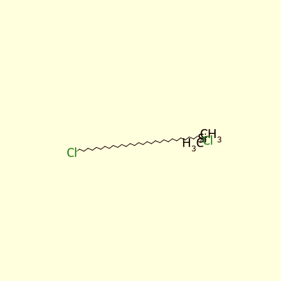 C[Si](C)(Cl)CCCCCCCCCCCCCCCCCCCCCCCCCCCCCCl